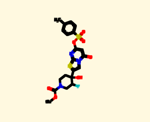 Cc1ccc(S(=O)(=O)Oc2cc(=O)n3cc(C4(O)CCN(C(=O)OC(C)(C)C)CC4F)sc3n2)cc1